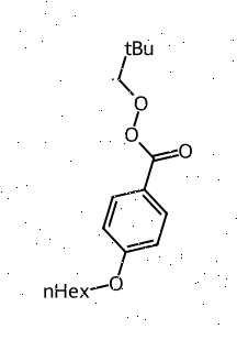 CCCCCCOc1ccc(C(=O)OO[CH]C(C)(C)C)cc1